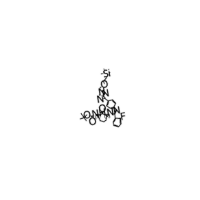 CC(C)(C)OC(=O)N[C@H]1CCC[C@@H](n2c(-c3ccccc3F)nc3ccc(-c4ncn(COCC[Si](C)(C)C)n4)cc32)C1=O